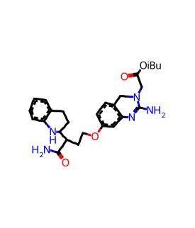 CC(C)COC(=O)CN1Cc2ccc(OCCC(C(N)=O)C3CCc4ccccc4N3)cc2N=C1N